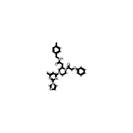 Cc1ccc(CNC(=O)CC2CN(c3cc(C)nc(-n4ccnc4)n3)CCN2C(=O)COc2ccccc2)cc1